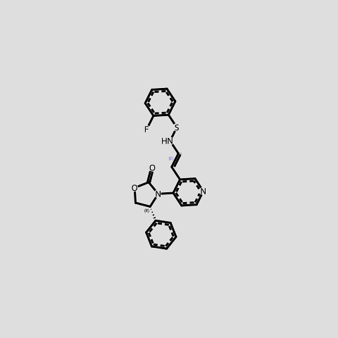 O=C1OC[C@@H](c2ccccc2)N1c1ccncc1/C=[C]/NSc1ccccc1F